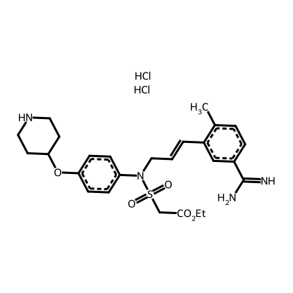 CCOC(=O)CS(=O)(=O)N(C/C=C/c1cc(C(=N)N)ccc1C)c1ccc(OC2CCNCC2)cc1.Cl.Cl